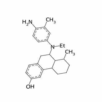 CCN(c1ccc(N)c(C)c1)C1Cc2ccc(O)cc2C2CCCC(C)C21